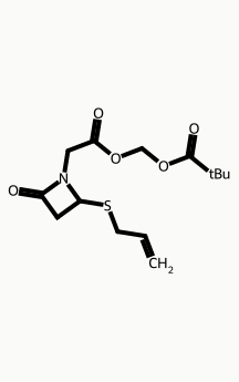 C=CCSC1CC(=O)N1CC(=O)OCOC(=O)C(C)(C)C